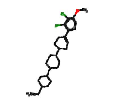 C=CC1CCC(C2CCC(C3CC=C(c4ccc(OC)c(Cl)c4F)CC3)CC2)CC1